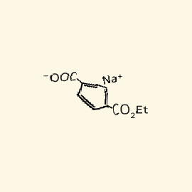 CCOC(=O)c1ccc(C(=O)[O-])cc1.[Na+]